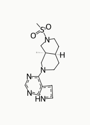 C[C@@]12CN(c3ncnc4[nH]ccc34)CC[C@@H]1CCN(S(C)(=O)=O)C2